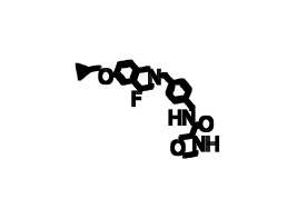 O=C(NCc1ccc(CN2Cc3ccc(OCC4CC4)cc3C(F)C2)cc1)C1COCCN1